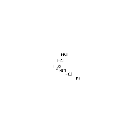 Cl.Cl.Cl.Cl.O.[Pt]